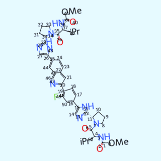 COC(=O)N[C@H](C(=O)N1CCC[C@H]1c1ncc(-c2ccc(-c3cc4ccc(-c5cnc([C@@H]6CCCN6C(=O)[C@@H](NC(=O)OC)C(C)C)[nH]5)cc4cn3)c(F)c2)[nH]1)C(C)C